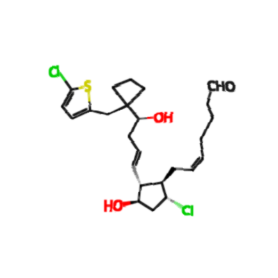 O=CCCC/C=C\C[C@@H]1[C@@H](/C=C/CC(O)C2(Cc3ccc(Cl)s3)CCC2)[C@H](O)C[C@H]1Cl